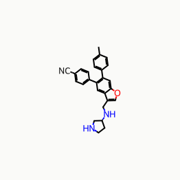 Cc1ccc(-c2cc3occ(CN[C@H]4CCNC4)c3cc2-c2ccc(C#N)cc2)cc1